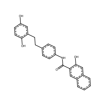 O=C(Nc1ccc(CCc2cc(O)ccc2O)cc1)c1cc2ccccc2cc1O